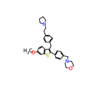 COc1ccc2c(Cc3ccc(CCN4CCCC4)cc3)c(-c3ccc(CN4CCOCC4)cc3)sc2c1